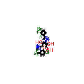 OC[C@H]1O[C@@H](c2nncn2-c2cc(Cl)ccc2C(F)(F)F)[C@H](O)[C@@H](n2cc(-c3ccc(Br)c(F)c3F)nn2)[C@H]1O